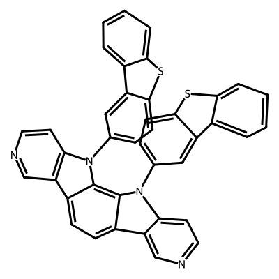 c1ccc2c(c1)sc1ccc(-n3c4ccncc4c4ccc5c6cnccc6n(-c6ccc7sc8ccccc8c7c6)c5c43)cc12